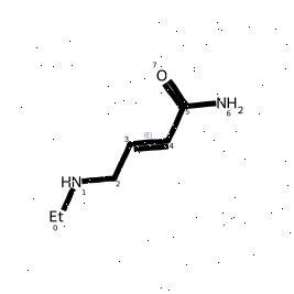 CCNC/C=C/C(N)=O